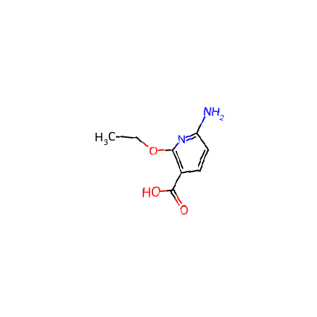 CCOc1nc(N)ccc1C(=O)O